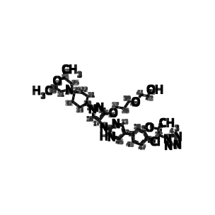 CC(Cn1cnnn1)Oc1cc(-c2cnc(Nc3cn(C4CCC(N5C[C@@H](C)O[C@@H](C)C5)CC4)nc3OCCCOCCO)nc2)ccc1Cl